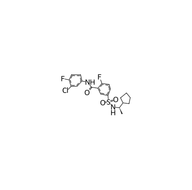 C[C@@H](NS(=O)(=O)c1ccc(F)c(C(=O)Nc2ccc(F)c(Cl)c2)c1)C1CCCC1